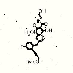 COCC#Cc1cc(F)ccc1Cc1cnc2c(O)c(C(=O)NCCO)c(=O)n(C)c2c1